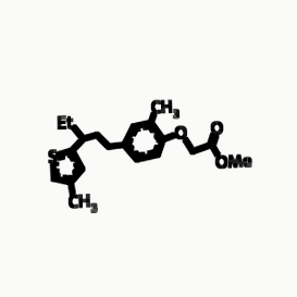 CCC(CCc1ccc(OCC(=O)OC)c(C)c1)c1cc(C)cs1